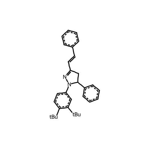 CC(C)(C)c1ccc(N2N=C(C=Cc3ccccc3)CC2c2ccccc2)cc1C(C)(C)C